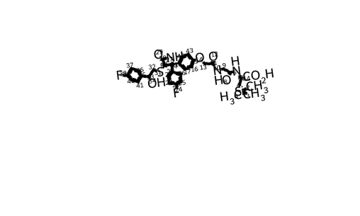 C[Si](C)(C)C[C@H](NC(=O)CNC(=O)COc1ccc([C@]2(c3ccc(F)cc3)NC(=O)[C@@H]2SCC(O)c2ccc(F)cc2)cc1)C(=O)O